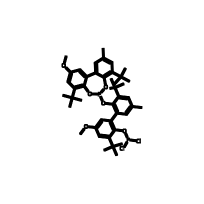 COc1cc(-c2cc(C)cc(C(C)(C)C)c2Op2oc3c(C(C)(C)C)cc(C)cc3c3cc(OC)cc(C(C)(C)C)c3o2)c(OP(Cl)Cl)c(C(C)(C)C)c1